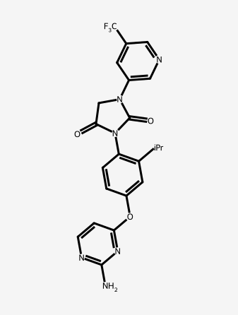 CC(C)c1cc(Oc2ccnc(N)n2)ccc1N1C(=O)CN(c2cncc(C(F)(F)F)c2)C1=O